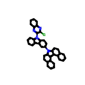 Clc1nc2ccccc2nc1-n1c2ccccc2c2cc(-n3c4ccc5ccccc5c4c4c5ccccc5ccc43)ccc21